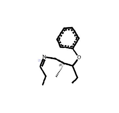 CC/C=N\C[C@@H](C)C(CC)Oc1ccccc1